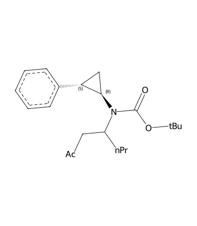 CCCC(CC(C)=O)N(C(=O)OC(C)(C)C)[C@@H]1C[C@H]1c1ccccc1